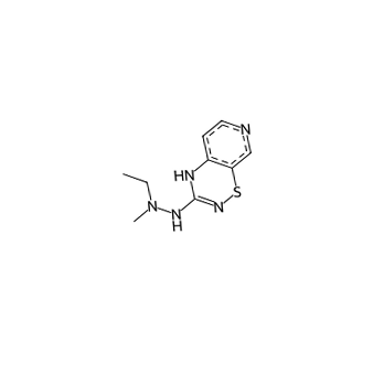 CCN(C)NC1=NSc2cnccc2N1